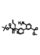 C=CC[C@H](NC(=O)OC(C)(C)C)c1cc(-c2cc(C(=O)OC)ccc2N)ccn1